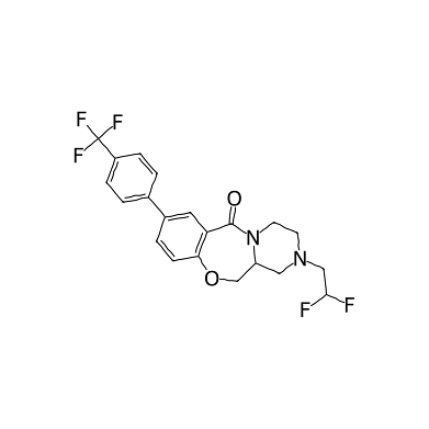 O=C1c2cc(-c3ccc(C(F)(F)F)cc3)ccc2OCC2CN(CC(F)F)CCN12